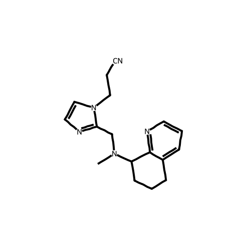 CN(Cc1nccn1CCC#N)C1CCCc2cccnc21